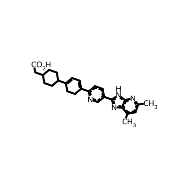 Cc1cc(C)c2nc(-c3ccc(C4=CC=C(C5CCC(CC(=O)O)CC5)CC4)nc3)[nH]c2n1